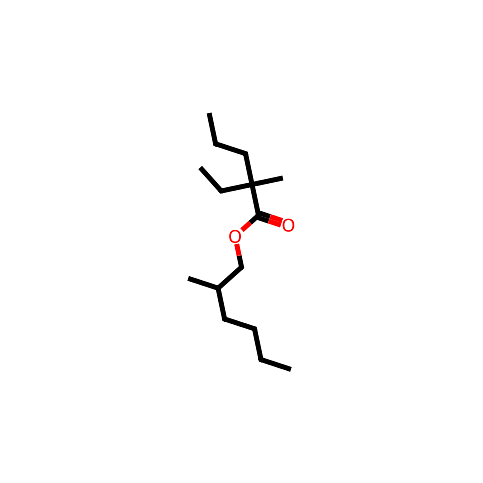 CCCCC(C)COC(=O)C(C)(CC)CCC